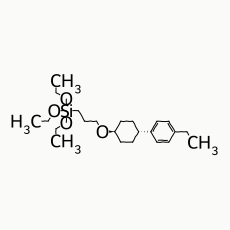 CCO[Si](CCCO[C@H]1CC[C@H](c2ccc(CC)cc2)CC1)(OCC)OCC